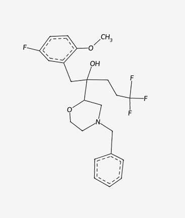 COc1ccc(F)cc1CC(O)(CCC(F)(F)F)C1CN(Cc2ccccc2)CCO1